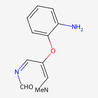 CN/C=C(\C=N/C=O)Oc1ccccc1N